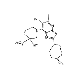 CCCC1(C(=O)O)CCCN(c2c(C(C)C)c(C)nc3cc([C@H]4CC[C@H](C(F)(F)F)CC4)nn23)C1